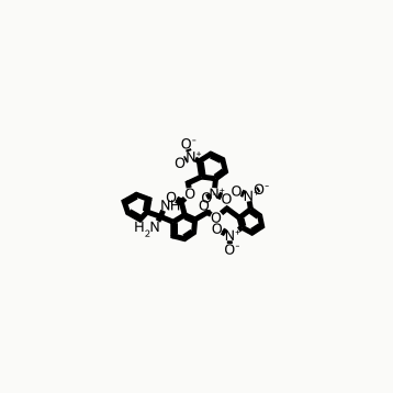 NC(N)(c1ccccc1)c1cccc(C(=O)OCc2c([N+](=O)[O-])cccc2[N+](=O)[O-])c1C(=O)OCc1c([N+](=O)[O-])cccc1[N+](=O)[O-]